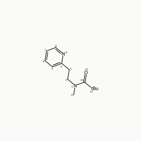 CN(CCc1ccccn1)C(=O)C(C)(C)C